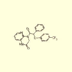 O=C1CN(C(=O)C(Oc2ccc(C(F)(F)F)cc2)c2ccccc2)c2ncccc2N1